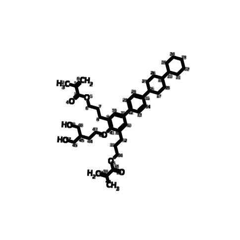 C=C(C)C(=O)OCCCc1cc(-c2ccc(C3CCC(C4CCCCC4)CC3)cc2)cc(CCCOC(=O)C(=C)C)c1OCCC(CO)CO